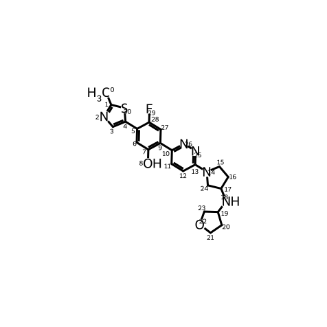 Cc1ncc(-c2cc(O)c(-c3ccc(N4CCC(NC5CCOC5)C4)nn3)cc2F)s1